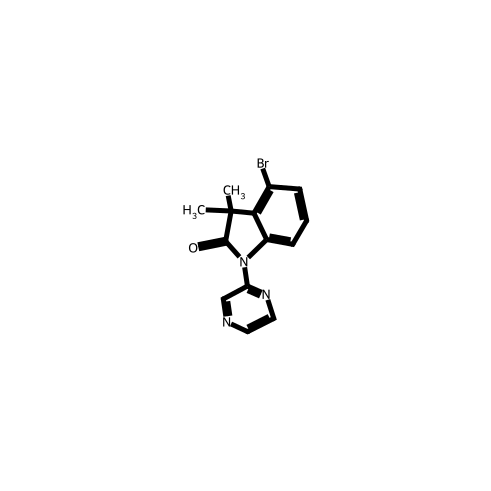 CC1(C)C(=O)N(c2cnccn2)c2cccc(Br)c21